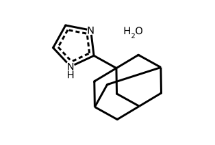 O.c1c[nH]c(C23CC4CC(CC(C4)C2)C3)n1